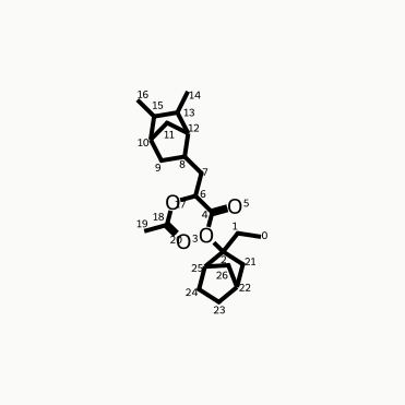 CCC1(OC(=O)C(CC2CC3CC2C(C)C3C)OC(C)=O)CC2CCC1C2